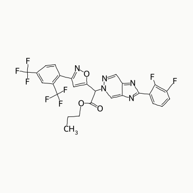 CCCOC(=O)C(c1cc(-c2ccc(C(F)(F)F)cc2C(F)(F)F)no1)n1cc2nc(-c3cccc(F)c3F)nc-2cn1